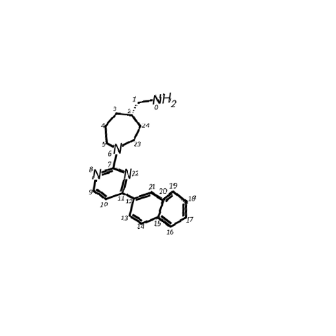 NC[C@H]1CCCN(c2nccc(-c3ccc4ccccc4c3)n2)CC1